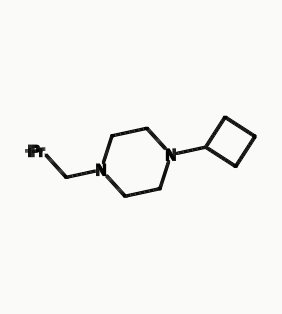 C[C](C)CN1CCN(C2CCC2)CC1